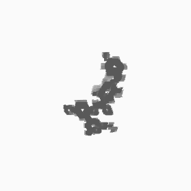 CC(=O)CC(CN)c1cc(Cl)ccc1OCC(=O)N1C[C@H](C)N(Cc2ccc(F)cc2)C[C@H]1C